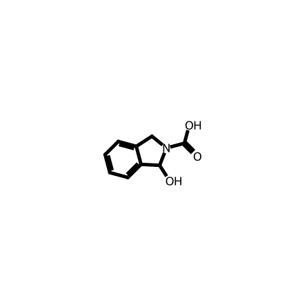 O=C(O)N1Cc2ccccc2C1O